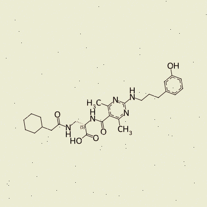 Cc1nc(NCCCc2cccc(O)c2)nc(C)c1C(=O)N[C@@H](CNC(=O)CC1CCCCC1)C(=O)O